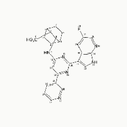 O=C(O)C1C2CCC(CC2)C1Nc1cc(-c2cccnc2)nc(-c2c[nH]c3ncc(F)cc23)n1